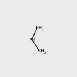 CCCCCCCCCCCCC[CH2][Pd][CH2]CCCCCCCCCCCCC